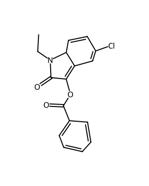 CCN1C(=O)C(OC(=O)c2ccccc2)=C2C=C(Cl)C=CC21